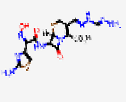 NN=CNN=CC1=C(C(=O)O)N2C(=O)C(NC(=O)/C(=N\O)c3csc(N)n3)[C@@H]2SC1